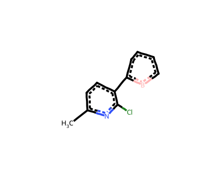 Cc1ccc(-c2bcccc2)c(Cl)n1